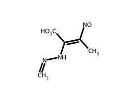 C=NN/C(C(=O)O)=C(\C)N=O